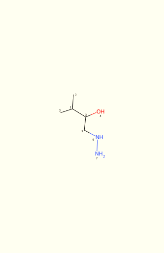 CC(C)C(O)CNN